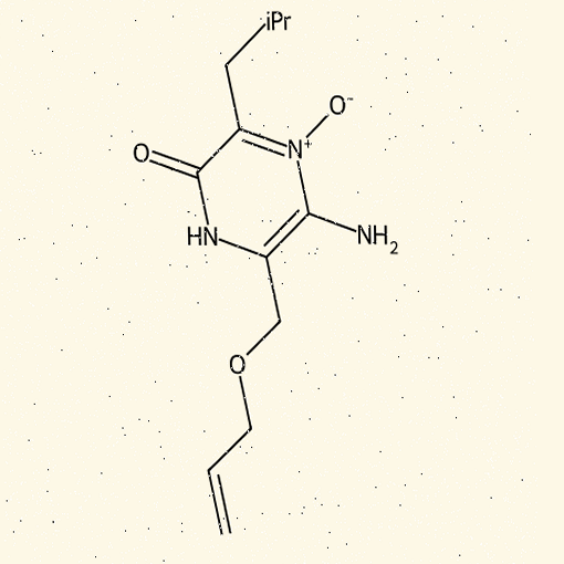 C=CCOCc1[nH]c(=O)c(CC(C)C)[n+]([O-])c1N